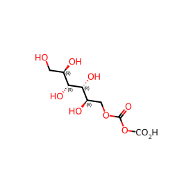 O=C(O)OC(=O)OC[C@@H](O)[C@@H](O)[C@H](O)[C@H](O)CO